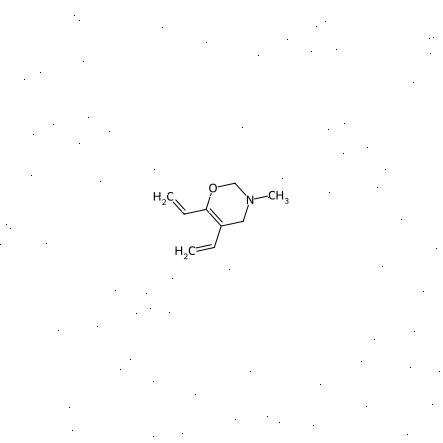 C=CC1=C(C=C)OCN(C)C1